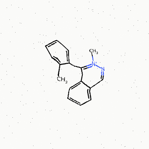 Cc1ccccc1-c1c2ccccc2cn[n+]1C